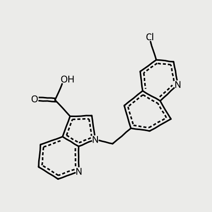 O=C(O)c1cn(Cc2ccc3ncc(Cl)cc3c2)c2ncccc12